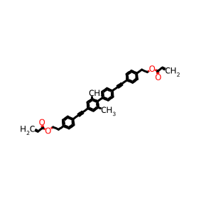 C=CC(=O)OCCc1ccc(C#Cc2ccc(-c3c(C)cc(C#Cc4ccc(CCOC(=O)C=C)cc4)cc3C)cc2)cc1